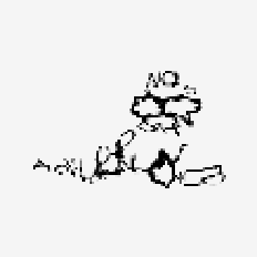 CC(=O)NC[C@H]1CN(c2ccc(N3CCOCC3)c(F)c2)C(=O)O1.O=[N+]([O-])c1ccc(O)c2ncccc12